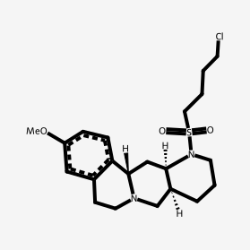 COc1ccc2c(c1)CCN1C[C@@H]3CCCN(S(=O)(=O)CCCCCl)[C@@H]3C[C@@H]21